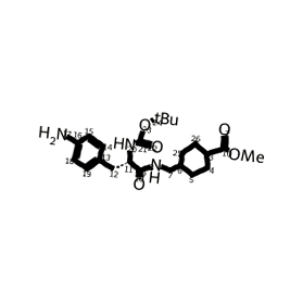 COC(=O)C1CCC(CNC(=O)[C@H](Cc2ccc(N)cc2)NC(=O)OC(C)(C)C)CC1